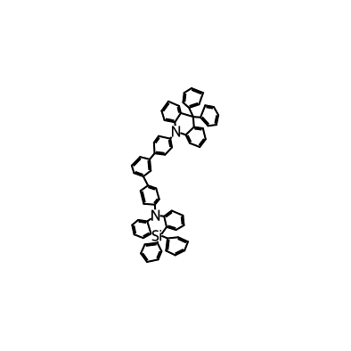 c1ccc(C2(c3ccccc3)c3ccccc3N(c3ccc(-c4cccc(-c5ccc(N6c7ccccc7[Si](c7ccccc7)(c7ccccc7)c7ccccc76)cc5)c4)cc3)c3ccccc32)cc1